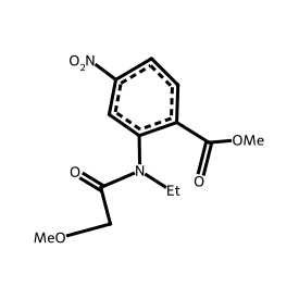 CCN(C(=O)COC)c1cc([N+](=O)[O-])ccc1C(=O)OC